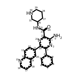 Nc1nc(-c2ccccc2)c(-c2ccc3ncccc3c2)nc1C(=O)NC1CCCNC1